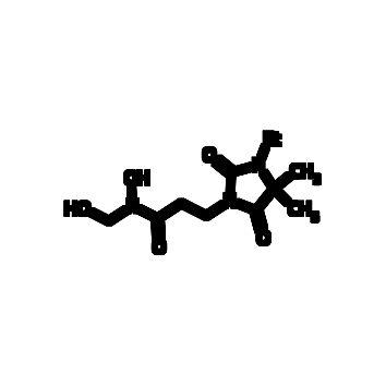 CCN1C(=O)N(CCC(=O)N(O)CO)C(=O)C1(C)C